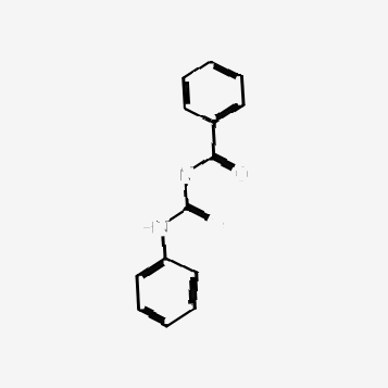 O=C([N]C(=O)c1ccccc1)Nc1ccccc1